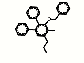 CCCc1[c]c(-c2ccccc2)c(-c2ccccc2)c(OCc2ccccc2)c1C